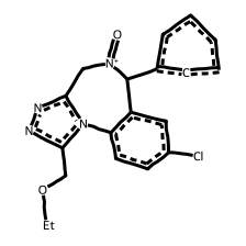 CCOCc1nnc2n1-c1ccc(Cl)cc1C(c1ccccc1)[N+](=O)C2